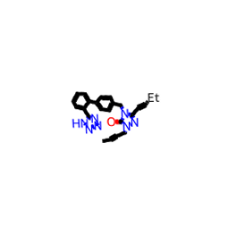 CC#CCn1nc(C#CCC)n(Cc2ccc(-c3ccccc3-c3nnn[nH]3)cc2)c1=O